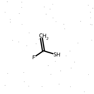 C=C(F)S